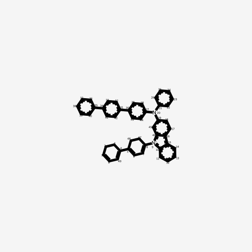 C1=CCCC(C2=CC=C(n3c4ccccc4c4ccc(N(c5ccccc5)c5ccc(-c6ccc(-c7ccccc7)cc6)cc5)cc43)CC2)=C1